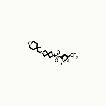 Cn1nc(C(F)(F)F)cc1S(=O)(=O)N1CC2(CN(CC3(C)CCOCC3)C2)C1